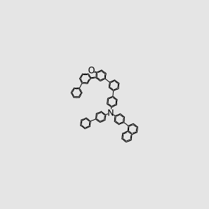 c1ccc(-c2ccc(N(c3ccc(-c4cccc(-c5ccc6oc7ccc(-c8ccccc8)cc7c6c5)c4)cc3)c3ccc(-c4cccc5ccccc45)cc3)cc2)cc1